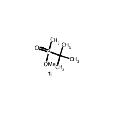 COP(C)(=O)C(C)(C)C.[Ti]